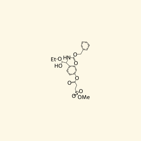 CCOC(O)C(NC(=O)OCc1ccccc1)c1ccc(OC(=O)CCS(=O)(=O)OC)cc1